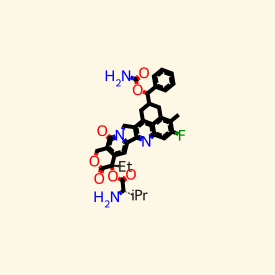 CC[C@@]1(OC(=O)[C@@H](N)C(C)C)C(=O)OCc2c1cc1n(c2=O)Cc2c-1nc1cc(F)c(C)c3c1c2CC(C(OC(N)=O)c1ccccc1)C3